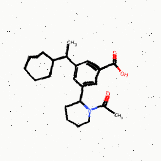 CC(=O)N1CCCCC1c1cc(C(=O)O)cc(C(C)C2CCCCC2)c1